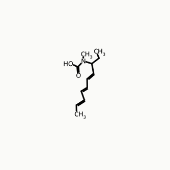 CC=CC=CC=CC(CC)N(C)C(=O)O